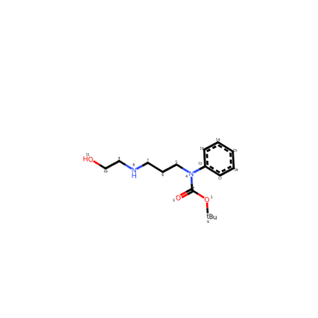 CC(C)(C)OC(=O)N(CCCNCCO)c1ccccc1